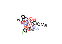 COC1CCC(CC(O)C(Cc2ccccc2)NC(=O)C(CS(=O)(=O)c2ccc(F)cc2)NS(C)(=O)=O)C(C(=O)NC(C)(C)C)C1